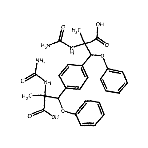 CC(NC(N)=O)(C(=O)O)C(Oc1ccccc1)c1ccc(C(Oc2ccccc2)C(C)(NC(N)=O)C(=O)O)cc1